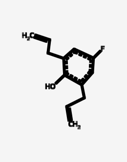 C=CCc1cc(F)cc(CC=C)c1O